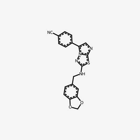 N#Cc1ccc(-c2cnc3sc(NCc4ccc5c(c4)OCO5)nn23)cc1